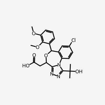 COc1cccc(C2OC(CC(=O)O)c3nnc(C(C)(C)O)n3-c3ccc(Cl)cc32)c1OC